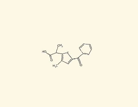 Cc1cc(C(=O)c2ccccc2)sc1C(C)C(=O)O